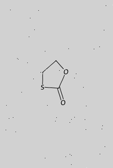 O=C1OC[CH]S1